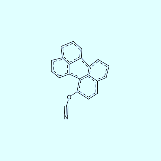 N#COc1ccc2cccc3c4cccc5cccc(c1c23)c54